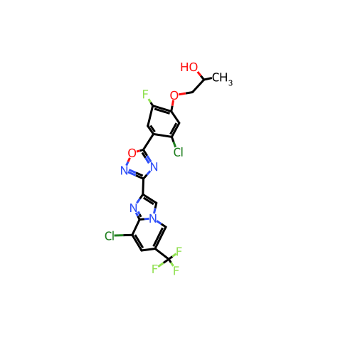 CC(O)COc1cc(Cl)c(-c2nc(-c3cn4cc(C(F)(F)F)cc(Cl)c4n3)no2)cc1F